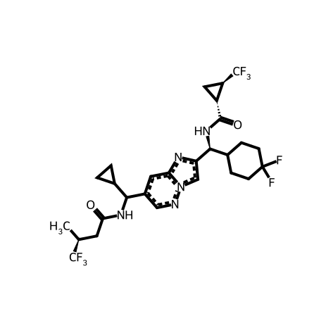 C[C@@H](CC(=O)NC(c1cnn2cc([C@@H](NC(=O)[C@@H]3C[C@H]3C(F)(F)F)C3CCC(F)(F)CC3)nc2c1)C1CC1)C(F)(F)F